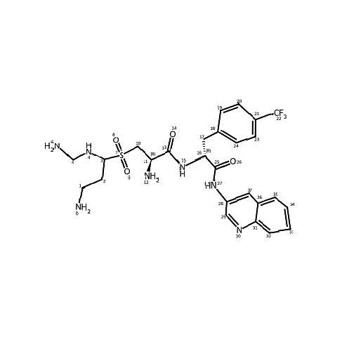 NCCC(NCN)S(=O)(=O)C[C@H](N)C(=O)N[C@H](Cc1ccc(C(F)(F)F)cc1)C(=O)Nc1cnc2ccccc2c1